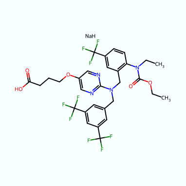 CCOC(=O)N(CC)c1ccc(C(F)(F)F)cc1CN(Cc1cc(C(F)(F)F)cc(C(F)(F)F)c1)c1ncc(OCCCC(=O)O)cn1.[NaH]